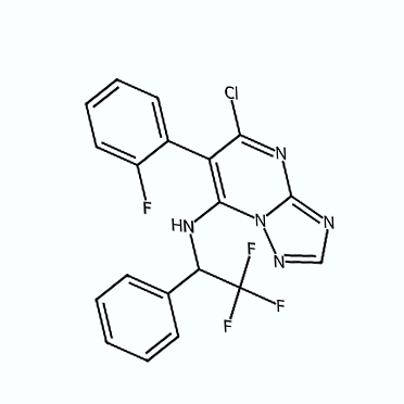 Fc1ccccc1-c1c(Cl)nc2ncnn2c1NC(c1ccccc1)C(F)(F)F